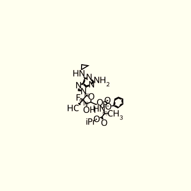 C#C[C@@]1(F)[C@H](O)C(COP(=O)(N[C@@H](C)C(=O)OC(C)C)Oc2ccccc2)O[C@H]1n1cnc2c(NC3CC3)nc(N)nc21